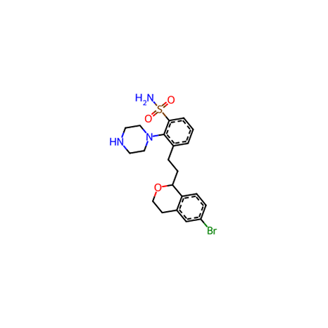 NS(=O)(=O)c1cccc(CCC2OCCc3cc(Br)ccc32)c1N1CCNCC1